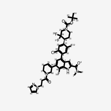 CN(C)C(=O)c1cc2c(-c3cc(F)c([C@@H]4CCN(C(=O)OC(C)(C)C)CC4(F)F)cc3Cl)cc(C3=CCCN(C(=O)CCn4cccn4)C3)c(F)c2[nH]1